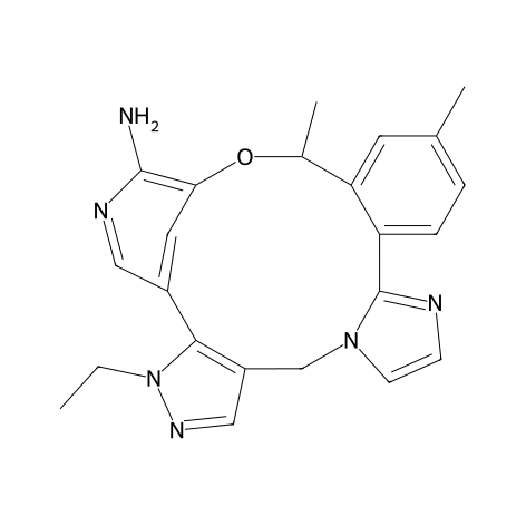 CCn1ncc2c1-c1cnc(N)c(c1)OC(C)c1cc(C)ccc1-c1nccn1C2